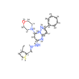 Cc1ccsc1/C=N/Nc1cc(N2CCOCC2)n2nc(-c3ccccc3)cc2n1